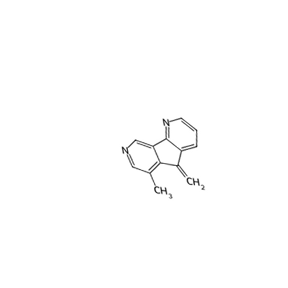 C=C1c2cccnc2-c2cncc(C)c21